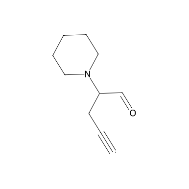 [C]#CCC(C=O)N1CCCCC1